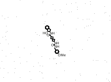 COc1ccc(CNC(=O)NC2CC3(C2)CC(C(=O)NC2Cc4ccccc4C2O)C3)cc1